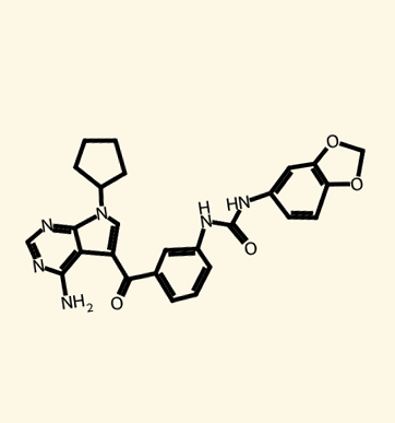 Nc1ncnc2c1c(C(=O)c1cccc(NC(=O)Nc3ccc4c(c3)OCO4)c1)cn2C1CCCC1